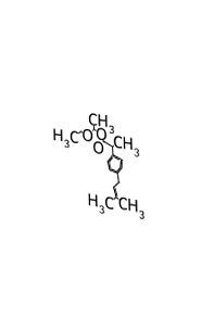 CCOC(C)OC(=O)C(C)c1ccc(CC=C(C)C)cc1